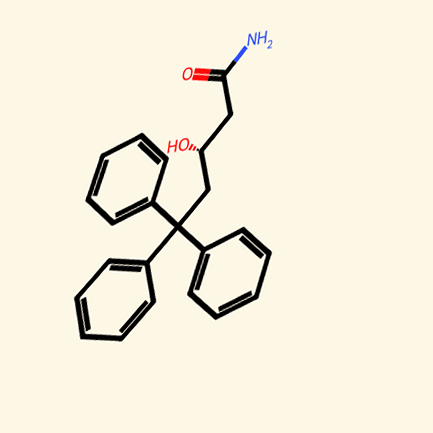 NC(=O)C[C@@H](O)CC(c1ccccc1)(c1ccccc1)c1ccccc1